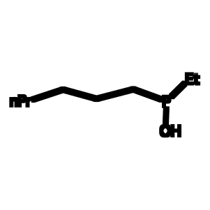 CCCCCCP(O)CC